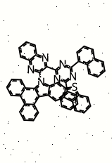 c1ccc(-c2nc(-c3nc4ccccc4nc3-n3c4cc5sc6ccccc6c5cc4c4c5ccccc5c5ccccc5c43)nc(-c3cccc4ccccc34)n2)cc1